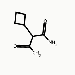 CC(=O)C(C(N)=O)C1CCC1